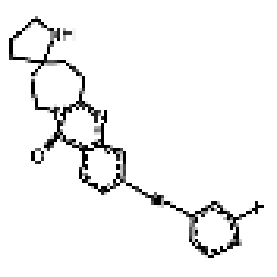 O=c1c2ccc(C#Cc3cccc(F)c3)cc2nc2n1CCC1(CCCN1)CC2